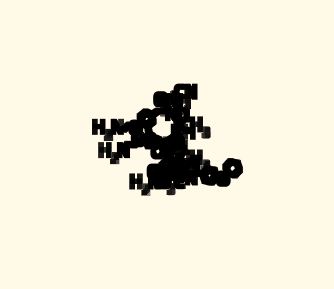 Cc1nc(-c2ccc(OC3CCCCC3)cc2)nc(C)c1C(=O)N[C@@H](CNS(N)(=O)=O)C(=O)N[C@@H]1C(=O)N[C@@H](C)C(=O)N[C@H](C(=O)NCC#N)Cc2ccc(OCCN)c(c2)-c2cc1ccc2OCCN